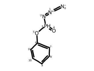 [N-]=[N+]=N[PH](=O)Oc1ccccc1